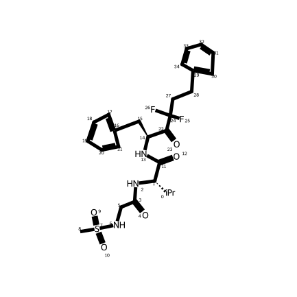 CC(C)[C@H](NC(=O)CNS(C)(=O)=O)C(=O)N[C@@H](Cc1ccccc1)C(=O)C(F)(F)CCc1ccccc1